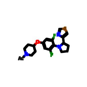 CC(=O)N1CCC(Oc2cc(F)c(N3CCCC3c3cscn3)c(F)c2)CC1